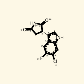 O=C1C[C@@H](c2c[nH]c3cc(Cl)c(F)cc23)C(=O)N1